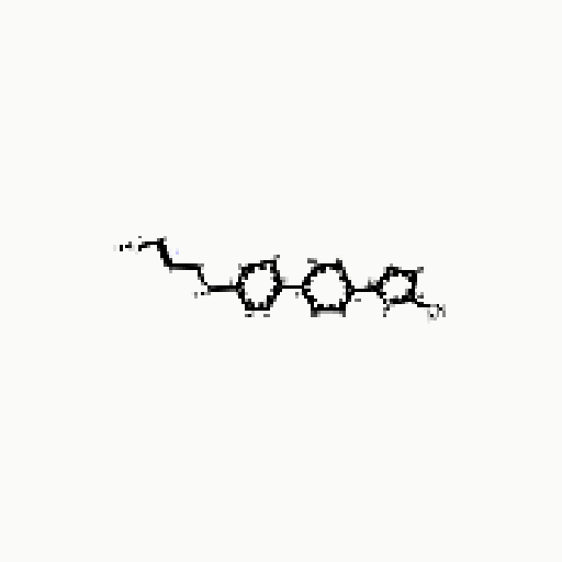 CCCC/C=C/COc1ccc(-c2ccc(-c3ccc(C#N)s3)cc2)cc1